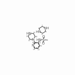 C1CNCCN1.CS(=O)(=O)Nc1cccnc1N1CCNCC1